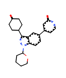 O=C1CCC(c2nn(C3CCCCO3)c3ccc(-c4cc[nH]c(=O)c4)cc23)CC1